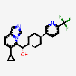 O[C@H](c1c(C2CC2)ccc2cncn12)[C@H]1CC[C@H](c2ccc(C(F)(F)F)nc2)CC1